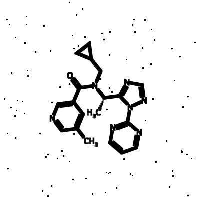 Cc1cncc(C(=O)N(CC2CC2)[C@@H](C)c2ncnn2-c2ncccn2)c1